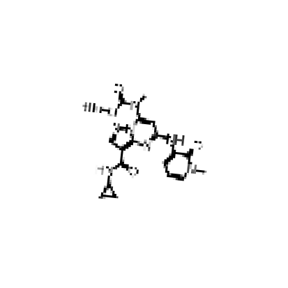 CN(C(=O)OC(C)(C)C)c1cc(Nc2cccn(C)c2=O)nc2c(C(=O)NC3CC3)cnn12